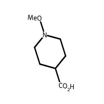 CON1CCC(C(=O)O)CC1